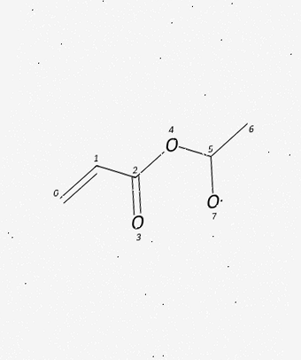 C=CC(=O)OC(C)[O]